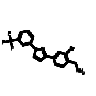 NCc1ccc(-c2ccn(-c3cccc(C(F)(F)F)c3)n2)cc1Br